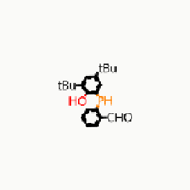 CC(C)(C)c1cc(Pc2ccccc2C=O)c(O)c(C(C)(C)C)c1